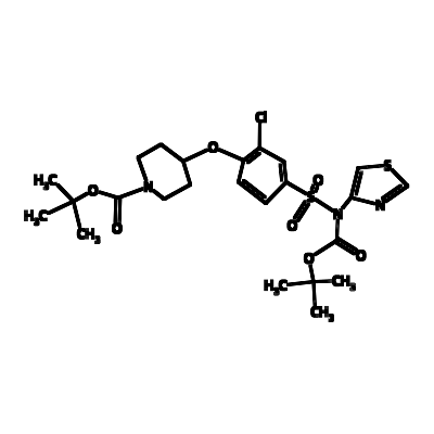 CC(C)(C)OC(=O)N1CCC(Oc2ccc(S(=O)(=O)N(C(=O)OC(C)(C)C)c3cscn3)cc2Cl)CC1